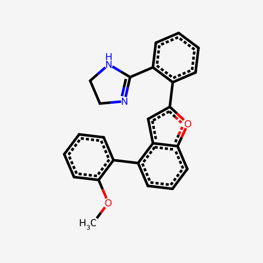 COc1ccccc1-c1cccc2oc(-c3ccccc3C3=NCCN3)cc12